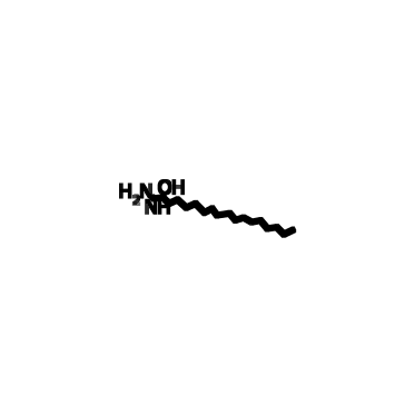 CCCCCCCCCCCCCCCCC(O)C(=N)N